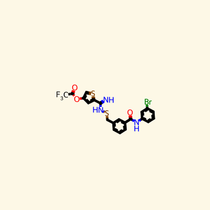 N=C(NSCc1cccc(C(=O)Nc2cccc(Br)c2)c1)c1cc(OC(=O)C(F)(F)F)cs1